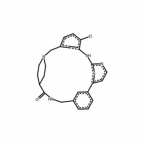 O=C1NCc2cccc(c2)-c2ccnc(n2)Nc2cc(ccc2Cl)CN2CCC1CC2